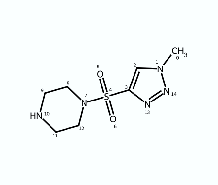 Cn1cc(S(=O)(=O)N2CCNCC2)nn1